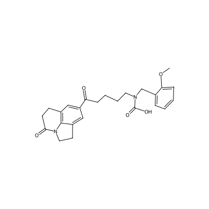 COc1ccccc1CN(CCCCC(=O)c1cc2c3c(c1)CCN3C(=O)CC2)C(=O)O